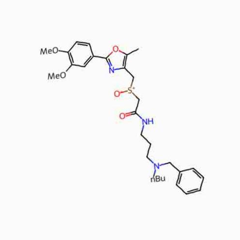 CCCCN(CCCNC(=O)C[S+]([O-])Cc1nc(-c2ccc(OC)c(OC)c2)oc1C)Cc1ccccc1